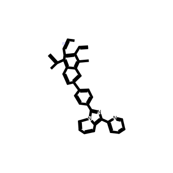 C=Cc1c(/C=C\C)c(C(=C)C)c2ccc(-c3ccc(-c4nc(-c5ccccn5)c5ccccn45)cc3)cc2c1C